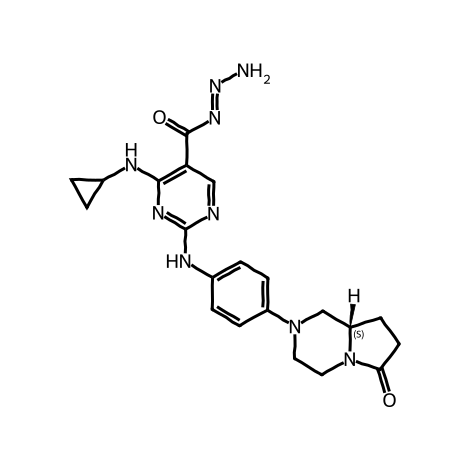 NN=NC(=O)c1cnc(Nc2ccc(N3CCN4C(=O)CC[C@H]4C3)cc2)nc1NC1CC1